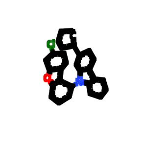 Clc1ccc2c(c1)oc1cccc(-n3c4ccccc4c4ccc(-c5ccccc5)cc43)c12